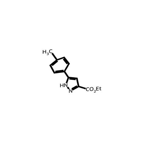 CCOC(=O)c1cc(-c2ccc(C)cc2)[nH]n1